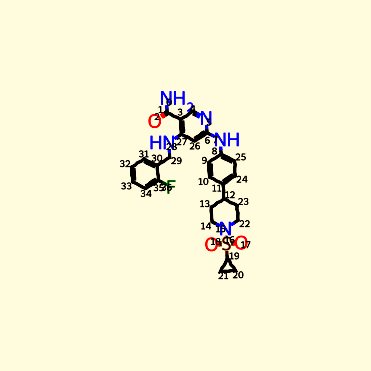 NC(=O)c1cnc(Nc2ccc(C3CCN(S(=O)(=O)C4CC4)CC3)cc2)cc1NCc1ccccc1F